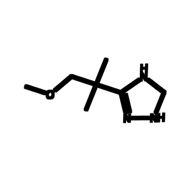 COCC(C)(C)C1=NNCN1